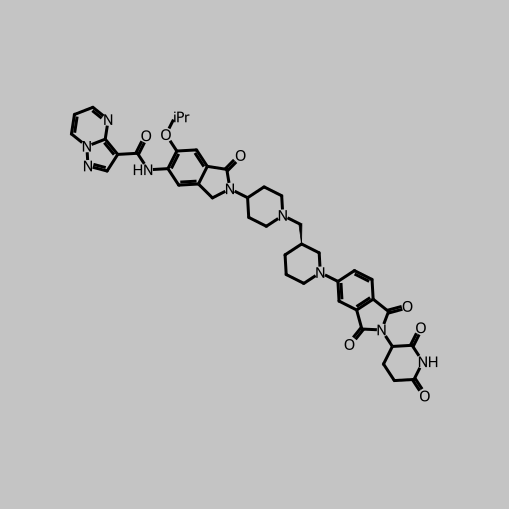 CC(C)Oc1cc2c(cc1NC(=O)c1cnn3cccnc13)CN(C1CCN(C[C@@H]3CCCN(c4ccc5c(c4)C(=O)N(C4CCC(=O)NC4=O)C5=O)C3)CC1)C2=O